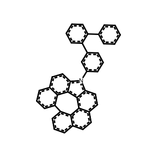 c1ccc(-c2ccccc2-c2cccc(-n3c4ccc5cccc6c5c4c4c5c(ccc7cccc-6c75)ccc43)c2)cc1